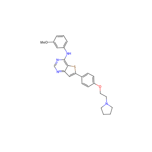 COc1cccc(Nc2ncnc3cc(-c4ccc(OCCN5CCCC5)cc4)sc23)c1